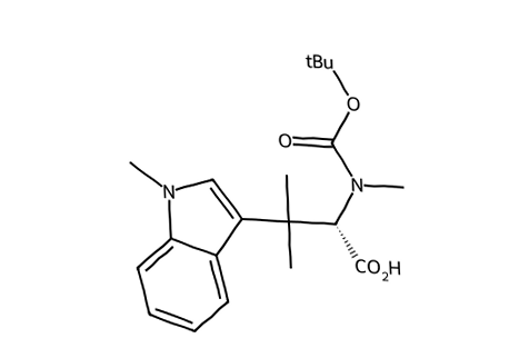 CN(C(=O)OC(C)(C)C)[C@H](C(=O)O)C(C)(C)c1cn(C)c2ccccc12